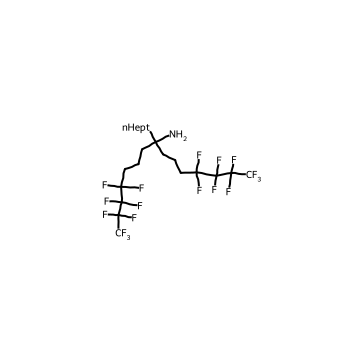 CCCCCCCC(N)(CCCC(F)(F)C(F)(F)C(F)(F)C(F)(F)F)CCCC(F)(F)C(F)(F)C(F)(F)C(F)(F)F